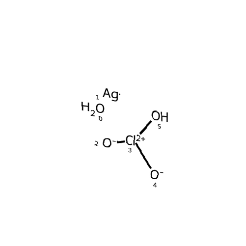 O.[Ag].[O-][Cl+2]([O-])O